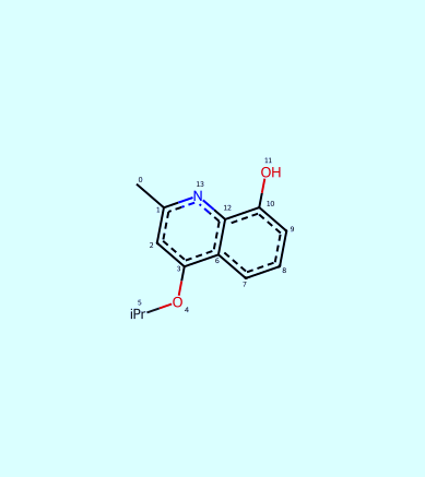 Cc1cc(OC(C)C)c2cccc(O)c2n1